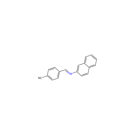 N#Cc1ccc(C=Nc2ccc3ccccc3c2)cc1